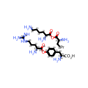 CC(C)C[C@H](N)C(=O)OC(=O)[C@@H](N)CCCCN.N=C(N)NCCC[C@H](N)C(=O)Oc1ccc(C[C@H](N)C(=O)O)cc1